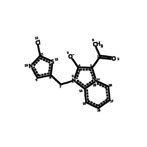 CC(=O)c1c([O-])n(Cc2cnc(Cl)s2)c2cccc[n+]12